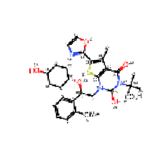 COc1ccccc1[C@H](CN1c2sc(-c3ncco3)c(C)c2C(=O)N(C(C)(C)C(=O)O)C1O)O[C@H]1CC[C@H](O)CC1